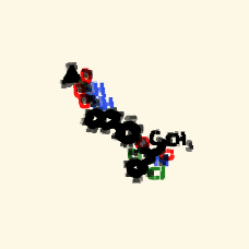 CC(C)c1onc(-c2c(Cl)cccc2Cl)c1COc1ccc(-c2ccc3c(NC(=O)NS(=O)(=O)C4CC4)cccc3c2)cc1